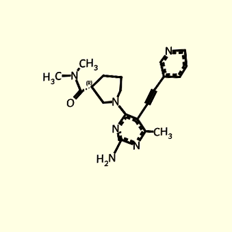 Cc1nc(N)nc(N2CCC[C@@H](C(=O)N(C)C)C2)c1C#Cc1cccnc1